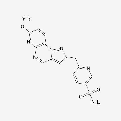 COc1ccc2c(ncc3cn(Cc4ccc(S(N)(=O)=O)cn4)nc32)n1